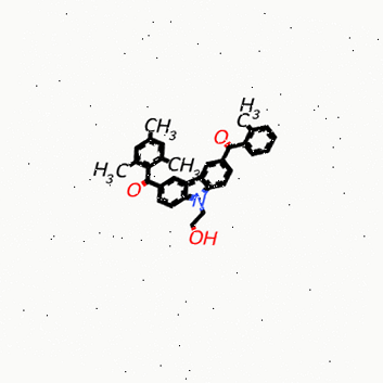 Cc1cc(C)c(C(=O)c2ccc3c(c2)c2cc(C(=O)c4ccccc4C)ccc2n3CCO)c(C)c1